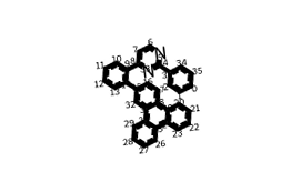 c1ccc(-c2nccc(-c3ccccc3-c3ccc4c5ccccc5c5ccccc5c4c3)n2)cc1